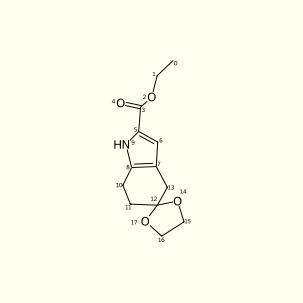 CCOC(=O)c1cc2c([nH]1)CCC1(C2)OCCO1